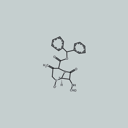 C=C1C[S+]([O-])[C@@H]2C(NC=O)C(=O)N2C1C(=O)OC(c1ccccc1)c1ccccc1